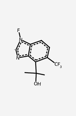 CC(C)(O)c1c(C(F)(F)F)ccc2c1n[c]n2F